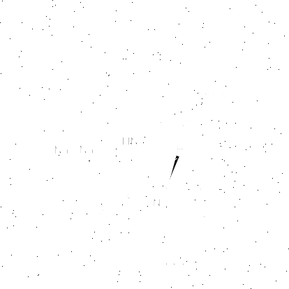 CC1(C)S[C@H]2C(NC(=O)Cc3ccsc3C(=O)[O-])C(=O)N2C1C(=O)[O-].[Na+].[Na+]